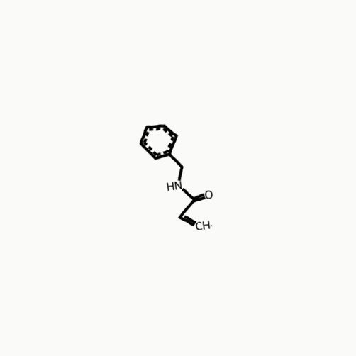 [CH]=CC(=O)NCc1ccccc1